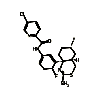 NC1=N[C@@]2(C3=CC(NC(=O)c4ccc(Cl)cn4)=CCC3F)CC[C@H](F)C[C@H]2CS1